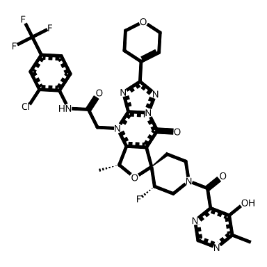 Cc1ncnc(C(=O)N2CC[C@]3(O[C@H](C)c4c3c(=O)n3nc(C5=CCOCC5)nc3n4CC(=O)Nc3ccc(C(F)(F)F)cc3Cl)[C@@H](F)C2)c1O